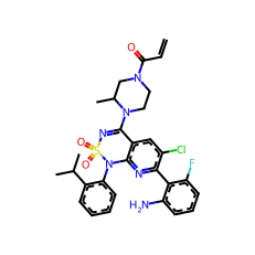 C=CC(=O)N1CCN(C2=NS(=O)(=O)N(c3ccccc3C(C)C)c3nc(-c4c(N)cccc4F)c(Cl)cc32)C(C)C1